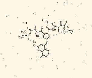 C=C[C@@H]1C[C@]1(NC(=O)[C@@H]1C[C@@H](Oc2cc(OCC)nc3c(Cl)cccc23)CN1C(=O)[C@@H](NC(=O)OC(C)(C)C(F)(F)F)C(C)(C)C)C(=O)NS(=O)(=O)OC1(C)CC1